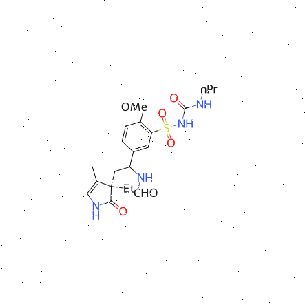 CCCNC(=O)NS(=O)(=O)c1cc(C(CC2(CC)C(=O)NC=C2C)NC=O)ccc1OC